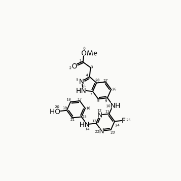 COC(=O)Cc1n[nH]c2cc(Nc3nc(Nc4cccc(O)c4)ncc3F)ccc12